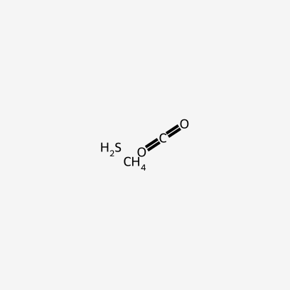 C.O=C=O.S